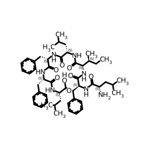 CC[C@H](C)[C@H](NC(=O)[C@H](Cc1ccccc1)NC(=O)[C@@H](N)CC(C)C)C(=O)N[C@@H](CC(C)C)C(=O)N[C@@H](Cc1ccccc1)C(=O)N[C@@H](Cc1ccccc1)C(=O)N[C@@H](CC(C)C)C(=O)O